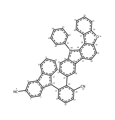 N#Cc1ccc2c(c1)c1ccccc1n2-c1cccc(C#N)c1-c1ccc2c(c1)c1ccc3oc4ccccc4c3c1n2-c1ccccc1